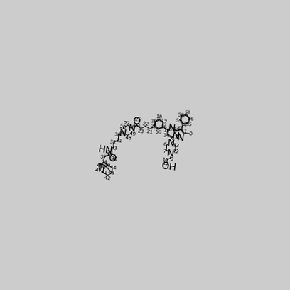 Cc1nn2c(N3CCN(CCO)CC3)cc(-c3cccc(CCCC(=O)N4CCN(CCCCNC(=O)CC5C6CC7CC(C6)CC5C7)CC4)c3)nc2c1-c1ccccc1